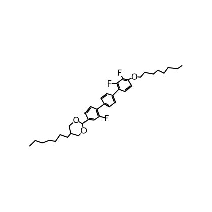 CCCCCCCCOc1ccc(-c2ccc(-c3ccc(C4OCC(CCCCCCC)CO4)cc3F)cc2)c(F)c1F